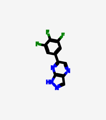 Fc1cc(-c2cnc3cn[nH]c3n2)cc(F)c1F